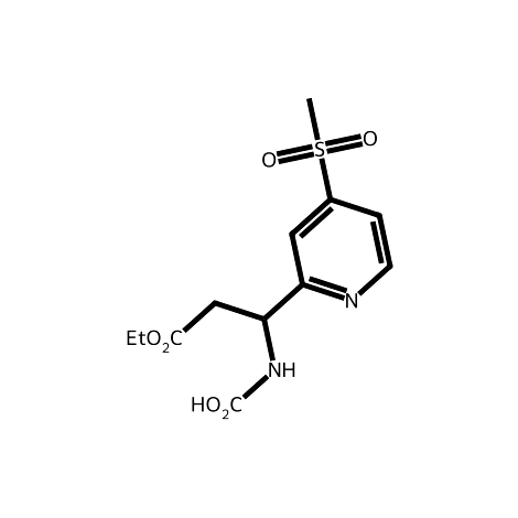 CCOC(=O)CC(NC(=O)O)c1cc(S(C)(=O)=O)ccn1